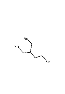 OCCC(CO)CO